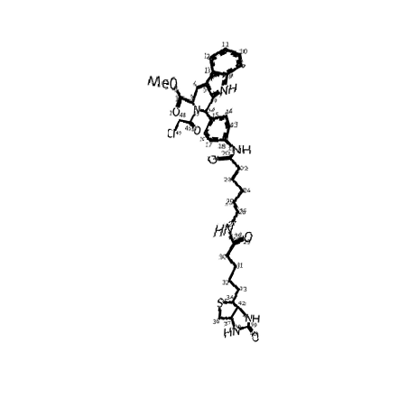 COC(=O)C1Cc2c([nH]c3ccccc23)C(c2ccc(NC(=O)CCCCCNC(=O)CCCCC3SCC4NC(=O)NC43)cc2)N1C(=O)CCl